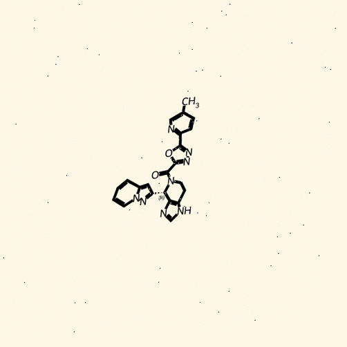 Cc1ccc(-c2nnc(C(=O)N3CCc4[nH]cnc4[C@@H]3c3cc4ccccn4n3)o2)nc1